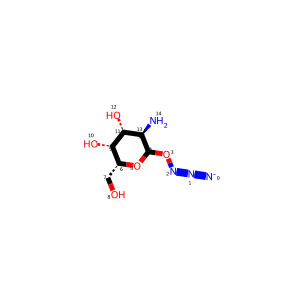 [N-]=[N+]=NOC1O[C@H](CO)[C@H](O)[C@H](O)[C@H]1N